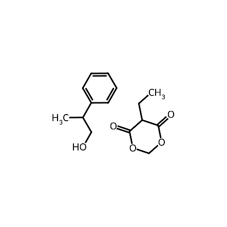 CC(CO)c1ccccc1.CCC1C(=O)OCOC1=O